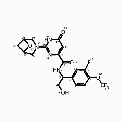 O=C(NC(CO)c1ccc(OC(F)(F)F)c(F)c1)c1cc(=O)[nH]c(N2CC3CC(C2)O3)n1